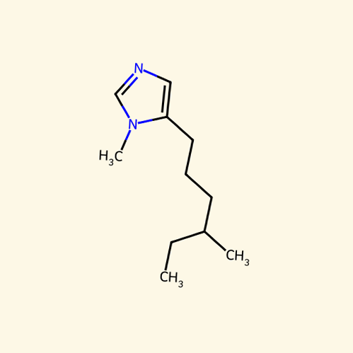 CCC(C)CCCc1cncn1C